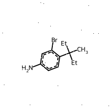 CCC(C)(CC)c1ccc(N)cc1Br